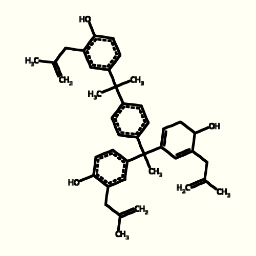 C=C(C)CC1=CC(C(C)(c2ccc(C(C)(C)c3ccc(O)c(CC(=C)C)c3)cc2)c2ccc(O)c(CC(=C)C)c2)=CCC1O